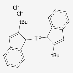 CC(C)(C)C1=Cc2ccccc2[CH]1[Ti+2][CH]1C(C(C)(C)C)=Cc2ccccc21.[Cl-].[Cl-]